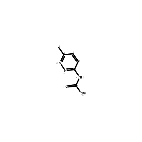 Cc1ccc(NC(=O)C(C)(C)C)nn1